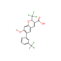 COc1cc2c(cc1-c1cccc(C(F)(F)F)c1)C=C(C(=O)O)C(C(F)(F)F)O2